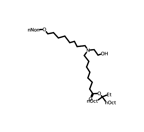 CCCCCCCCCOCCCCCCCCN(CCO)CCCCCCCC(=O)OC(CC)(CCCCCCCC)CCCCCCCC